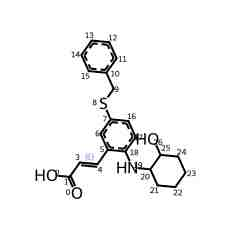 O=C(O)/C=C/c1cc(SCc2ccccc2)ccc1NC1CCCCC1O